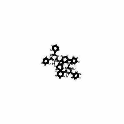 c1ccc(C2=NC(c3ccccc3)NC(n3c4ccccc4c4c3ccc3c5ccccc5n(C5N=C(c6ccccc6)NC(c6ccccc6)N5)c34)=N2)cc1